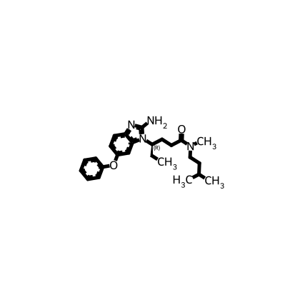 CC[C@H](CCC(=O)N(C)CCC(C)C)n1c(N)nc2ccc(Oc3ccccc3)cc21